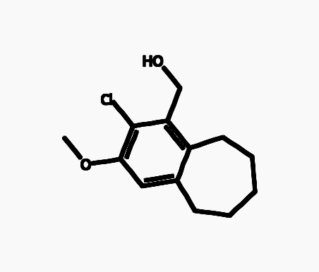 COc1cc2c(c(CO)c1Cl)CCCCC2